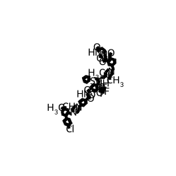 CC1CN(Cc2ccc3c(c2)C(=O)N(N2CCC(=O)NC2=O)C3=O)CC(C)N1CC[C@H](CSc1ccccc1)Nc1ccc(S(=O)(=O)NC(=O)c2ccc(N3CCN(CC4=C(c5ccc(Cl)cc5)CCC(C)(C)C4)CC3)cc2)cc1S(=O)(=O)C(F)(F)F